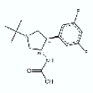 CC(C)(C)N1C[C@@H](NC(=O)O)[C@H](c2cc(F)cc(F)c2)C1